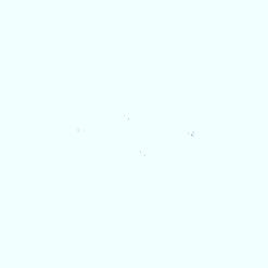 CCCCCCc1cn(CC)c(C(N)=O)n1